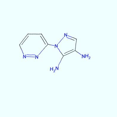 Nc1cnn(-c2cccnn2)c1N